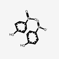 O=[N+]([O-])c1ccc(O)cc1.O=[N+]([O-])c1ccc(O)cc1